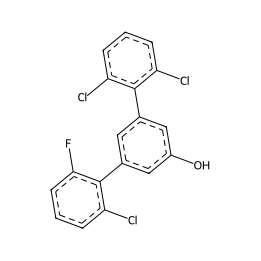 Oc1cc(-c2c(F)cccc2Cl)cc(-c2c(Cl)cccc2Cl)c1